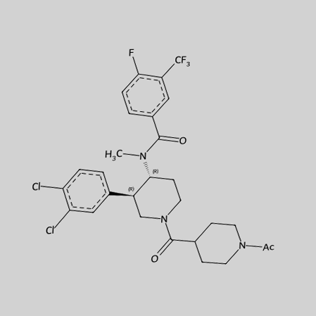 CC(=O)N1CCC(C(=O)N2CC[C@@H](N(C)C(=O)c3ccc(F)c(C(F)(F)F)c3)[C@H](c3ccc(Cl)c(Cl)c3)C2)CC1